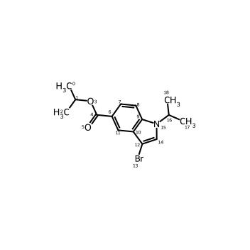 CC(C)OC(=O)c1ccc2c(c1)c(Br)cn2C(C)C